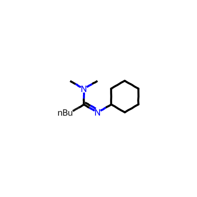 CCCCC(=NC1CCCCC1)N(C)C